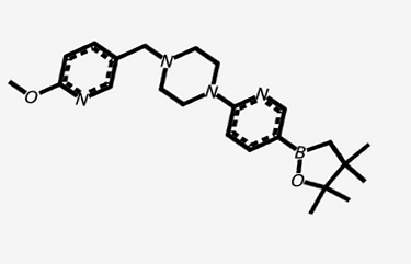 COc1ccc(CN2CCN(c3ccc(B4CC(C)(C)C(C)(C)O4)cn3)CC2)cn1